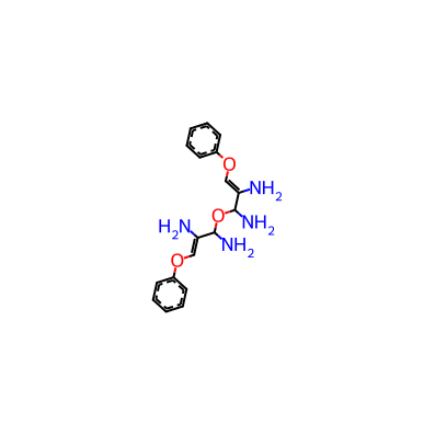 NC(=COc1ccccc1)C(N)OC(N)C(N)=COc1ccccc1